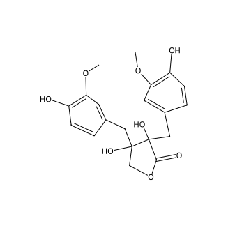 COc1cc(CC2(O)COC(=O)C2(O)Cc2ccc(O)c(OC)c2)ccc1O